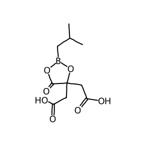 CC(C)CB1OC(=O)C(CC(=O)O)(CC(=O)O)O1